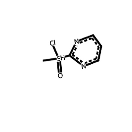 C[SH](=O)(Cl)c1ncccn1